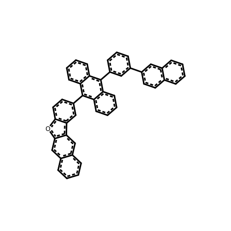 c1cc(-c2ccc3ccccc3c2)cc(-c2c3ccccc3c(-c3ccc4oc5cc6ccccc6cc5c4c3)c3ccccc23)c1